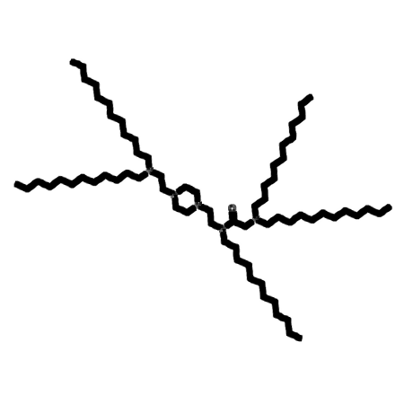 CCCCCCCCCCCCN(CCCCCCCCCCCC)CCN1CCN(CCN(CCCCCCCCCCCC)C(=O)CN(CCCCCCCCCCCC)CCCCCCCCCCCC)CC1